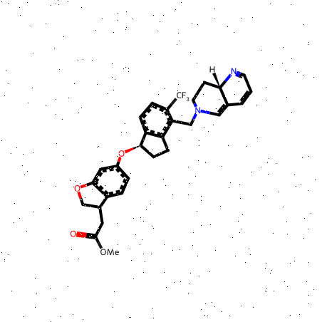 COC(=O)CC1COc2cc(O[C@@H]3CCc4c3ccc(C(F)(F)F)c4CN3C=C4C=CC=N[C@H]4CC3)ccc21